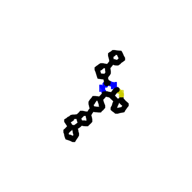 c1ccc(-c2cccc(-c3nc(-c4ccc(-c5ccc6c(ccc7ccccc76)c5)cc4)c4c(n3)sc3ccccc34)c2)cc1